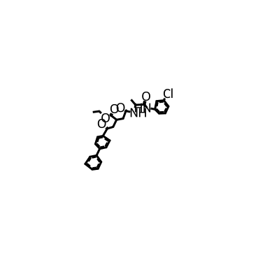 CCOC(=O)C(CC(=O)NC(C)C(=O)Nc1cccc(Cl)c1)CC(=O)c1ccc(-c2ccccc2)cc1